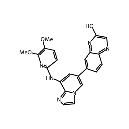 COc1ccc(Nc2cc(-c3ccc4ncc(O)nc4c3)cn3ccnc23)nc1OC